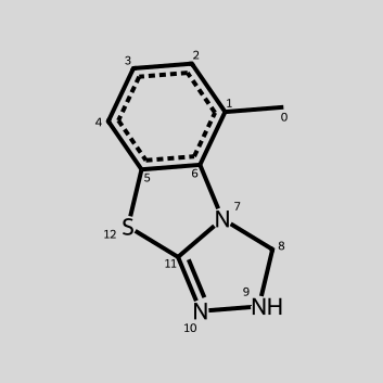 Cc1cccc2c1N1CNN=C1S2